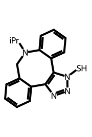 CC(C)N1Cc2ccccc2-c2nnn(S)c2-c2ccccc21